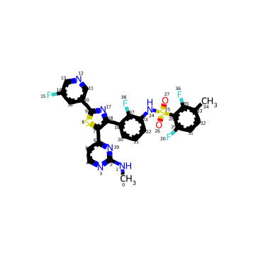 CNc1nccc(-c2sc(-c3cncc(F)c3)nc2-c2cccc(NS(=O)(=O)c3c(F)ccc(C)c3F)c2F)n1